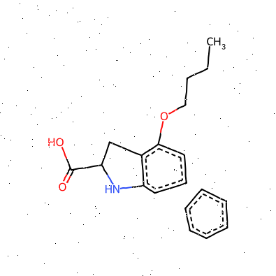 CCCCOc1cccc2c1CC(C(=O)O)N2.c1ccccc1